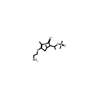 CC1=C(SCCN)CC2C(C(C)OP(C)(C)=O)C(=O)N12